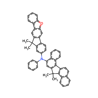 CC1(C)c2cc(N(c3ccccc3)c3cc4c(c5ccccc35)-c3ccc5ccccc5c3C4(C)C)ccc2-c2cc3oc4ccccc4c3cc21